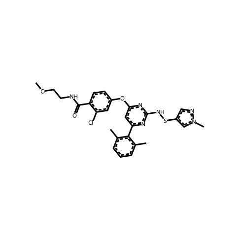 COCCNC(=O)c1ccc(Oc2cc(-c3c(C)cccc3C)nc(NSc3cnn(C)c3)n2)cc1Cl